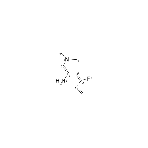 C=C/C(F)=C\C(N)=C/N(C)C